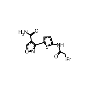 CC(C)CC(=O)Nc1ccc(-c2nocc2C(N)=O)s1